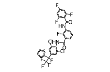 O=C(Nc1c(Cl)cc(C(F)(c2cccs2)C(F)(F)F)cc1Cl)c1cccc(NC(=O)c2c(F)cc(F)cc2F)c1F